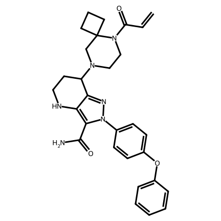 C=CC(=O)N1CCN(C2CCNc3c2nn(-c2ccc(Oc4ccccc4)cc2)c3C(N)=O)CC12CCC2